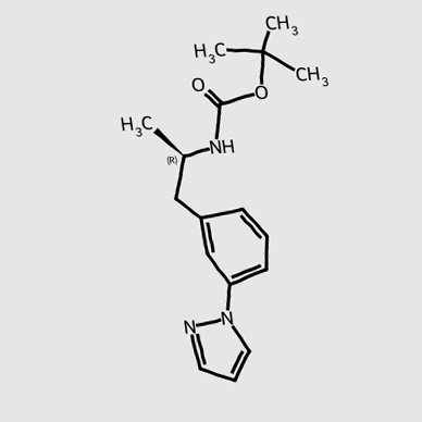 C[C@H](Cc1cccc(-n2cccn2)c1)NC(=O)OC(C)(C)C